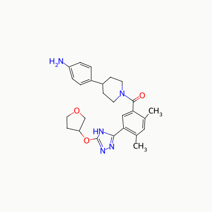 Cc1cc(C)c(-c2nnc(OC3CCOC3)[nH]2)cc1C(=O)N1CCC(c2ccc(N)cc2)CC1